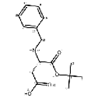 CC(C)(C)OC(=O)[C@H](CC(=O)O)NCc1ccccc1